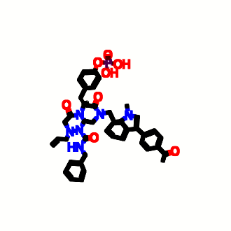 C=CCN1CC(=O)N2C(CN(Cc3cccc4c(-c5ccc(C(C)=O)cc5)cn(C)c34)C(=O)[C@@H]2Cc2ccc(OP(=O)(O)O)cc2)N1C(=O)NCc1ccccc1